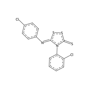 S=c1ssc(=Nc2ccc(Cl)cc2)n1-c1ccccc1Cl